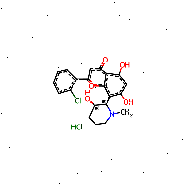 CN1CCC[C@@H](O)[C@H]1c1c(O)cc(O)c2c(=O)cc(-c3ccccc3Cl)oc12.Cl